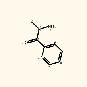 CN(N)C(=O)c1ccccn1